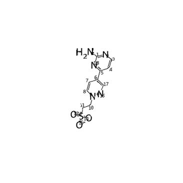 Nc1nccc(-c2cc[n+](CCS(=O)(=O)[O-])nc2)n1